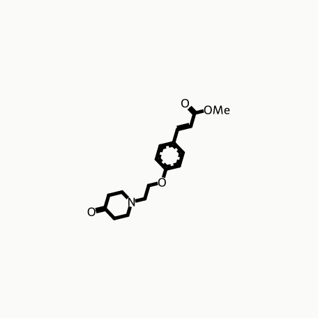 COC(=O)/C=C/c1ccc(OCCN2CCC(=O)CC2)cc1